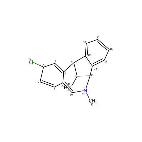 CC1C2C3=CC(Cl)C=CC3=CN(C)C1c1ccccc12